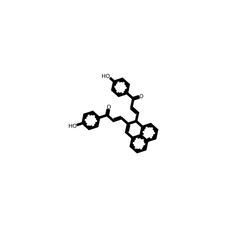 O=C(C=CC1=Cc2cccc3cccc(c23)C1C=CC(=O)c1ccc(O)cc1)c1ccc(O)cc1